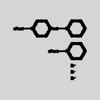 CCCCC[n+]1ccccc1.CCCCC[n+]1ccccc1.CCCCC[n+]1ccccc1.[Br-].[Br-].[Br-]